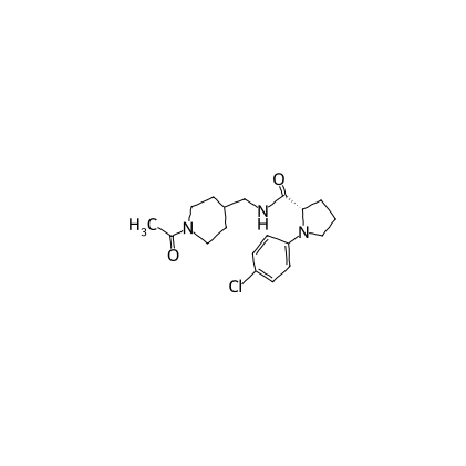 CC(=O)N1CCC(CNC(=O)[C@@H]2CCCN2c2ccc(Cl)cc2)CC1